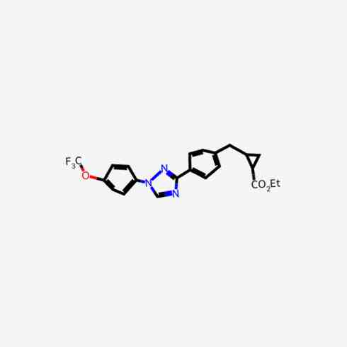 CCOC(=O)C1CC1Cc1ccc(-c2ncn(-c3ccc(OC(F)(F)F)cc3)n2)cc1